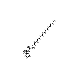 CCCCCCCCCCCCCCCCCCNC(=O)OCC1(CO)CCCC1